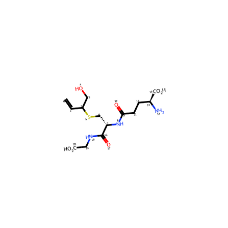 C=CC(CO)SC[C@H](NC(=O)CC[C@H](N)C(=O)O)C(=O)NCC(=O)O